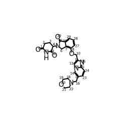 O=C1CCC(N2Cc3c(OCc4cn5cc(CN6CCOCC6)ccc5n4)cccc3C2=O)C(=O)N1